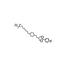 CCCCCCCC1CCC(CCC2COC(c3ccc(F)cc3)OC2)CC1